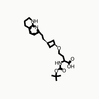 CC(C)(C)OC(=O)NC(CCO[C@H]1C[C@@H](CCc2ccc3c(n2)NCCC3)C1)C(=O)O